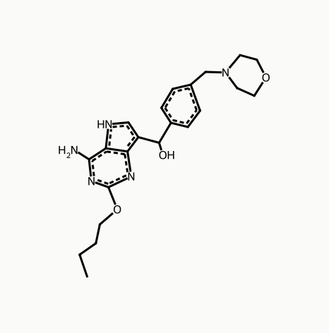 CCCCOc1nc(N)c2[nH]cc(C(O)c3ccc(CN4CCOCC4)cc3)c2n1